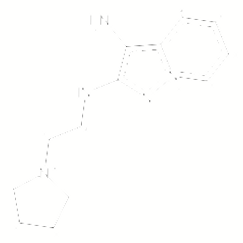 Nc1c(NCCN2CCCC2)nn2ccccc12